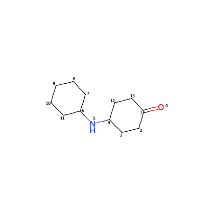 O=C1CCC(NC2CCCCC2)CC1